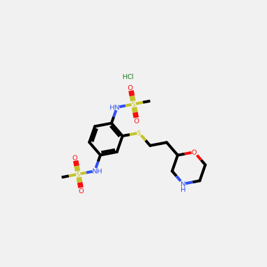 CS(=O)(=O)Nc1ccc(NS(C)(=O)=O)c(SCCC2CNCCO2)c1.Cl